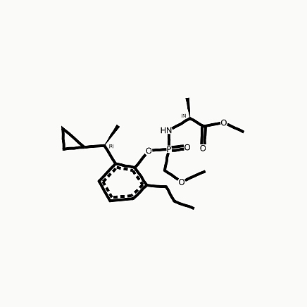 CCCc1cccc([C@H](C)C2CC2)c1OP(=O)(COC)N[C@@H](C)C(=O)OC